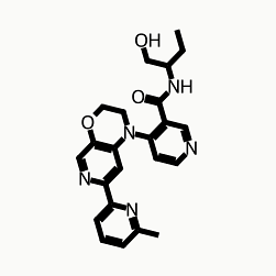 CCC(CO)NC(=O)c1cnccc1N1CCOc2cnc(-c3cccc(C)n3)cc21